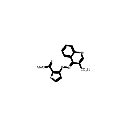 CCOC(=O)c1c[nH]c2ccccc2c1=NNc1ccsc1C(=O)OC